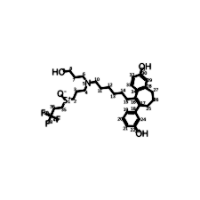 [O-][S+](CCCN(CCCO)CCCCCCC1=C(c2cccc(O)c2)CCCc2cc(O)ccc21)CCC(F)(F)F